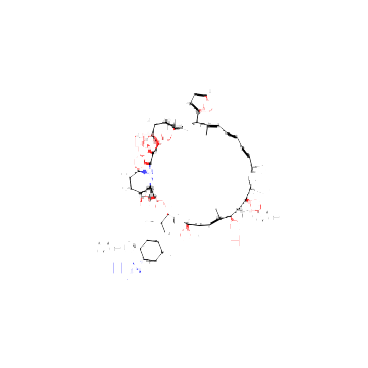 CO[C@@H]1C[C@H](C[C@@H](C)[C@@H]2CC(=O)[C@H](C)/C=C(\C)[C@@H](O)[C@@H](OC)C(=O)[C@H](C)C[C@H](C)/C=C/C=C/C=C(\C)C(c3ccco3)C[C@@H]3CC[C@@H](C)[C@@](O)(O3)C(=O)C(=O)N3CCCC[C@H]3C(=O)O2)CC[C@@H]1N